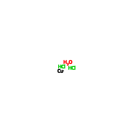 Cl.Cl.O.[Cu]